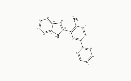 Nc1ncc(-c2ccncc2)cc1-c1nc2ccccc2[nH]1